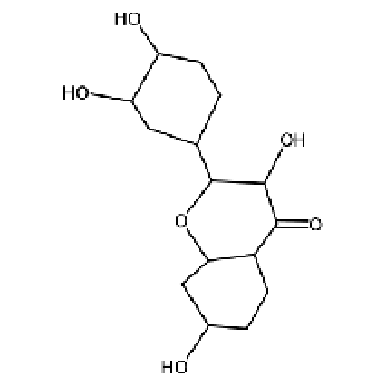 O=C1C(O)C(C2CCC(O)C(O)C2)OC2CC(O)CCC12